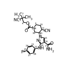 CC(C)(C#N)COC(=O)N1CCC(C#N)[C@H](n2cc(C(N)=O)c(Nc3ccc(F)cc3)n2)C1